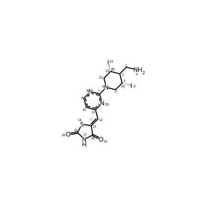 NCC1[C@H](I)CN(c2nccc(/C=C3\SC(=O)NC3=O)n2)C[C@@H]1I